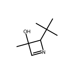 CC(C)(C)C1N=CC1(C)O